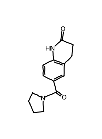 O=C1CCc2cc(C(=O)N3CCCC3)ccc2N1